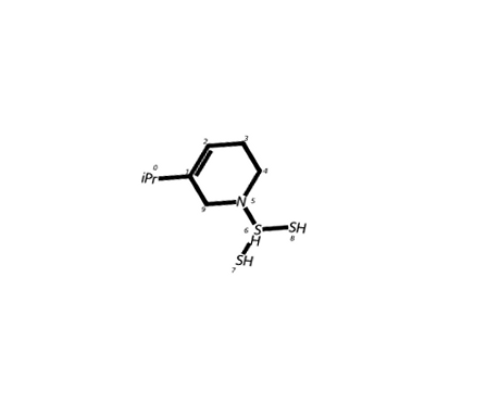 CC(C)C1=CCCN([SH](S)S)C1